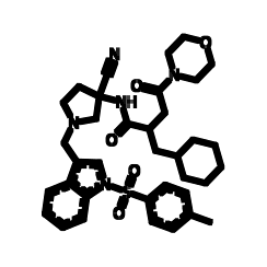 Cc1ccc(S(=O)(=O)n2cc(CN3CCC(C#N)(NC(=O)C(CC(=O)N4CCOCC4)CC4CCCCC4)C3)c3ccccc32)cc1